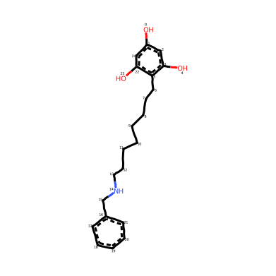 Oc1cc(O)c(CCCCCCCCNCc2ccccc2)c(O)c1